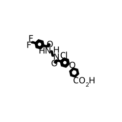 O=C(NCCNC(=O)c1ccc(O[C@H]2CC[C@@H](C(=O)O)CC2)cc1Cl)c1ccc(C(F)F)cc1